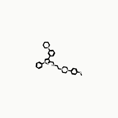 COc1ccc(N2CCN(CCNCc3nn(-c4ccccc4)cc3-c3cccc(N4CCCCC4)c3)CC2)cc1